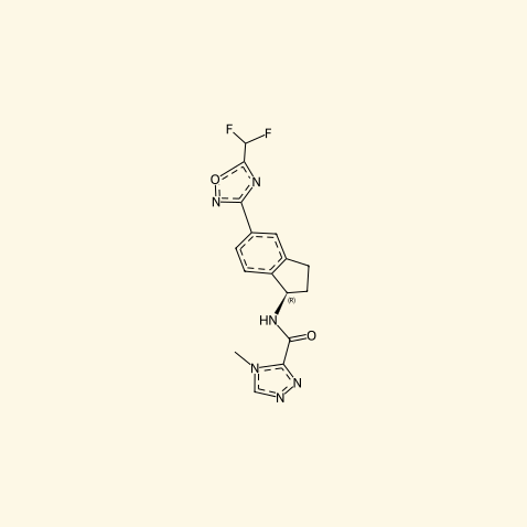 Cn1cnnc1C(=O)N[C@@H]1CCc2cc(-c3noc(C(F)F)n3)ccc21